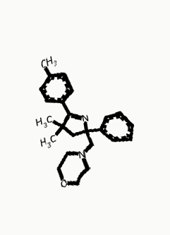 Cc1ccc(C2=NC(CN3CCOCC3)(c3ccccc3)CC2(C)C)cc1